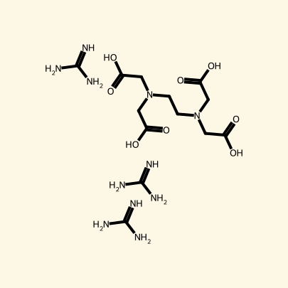 N=C(N)N.N=C(N)N.N=C(N)N.O=C(O)CN(CCN(CC(=O)O)CC(=O)O)CC(=O)O